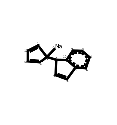 [Na][C]1(C2C=Cc3ccccc32)C=CC=C1